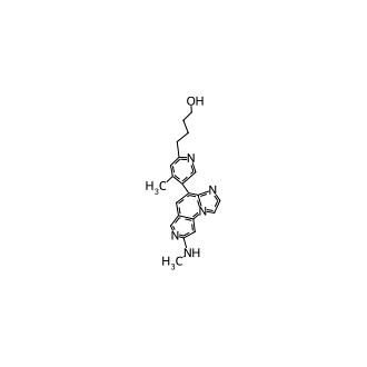 CNc1cc2c(cn1)cc(-c1cnc(CCCCO)cc1C)c1nccn12